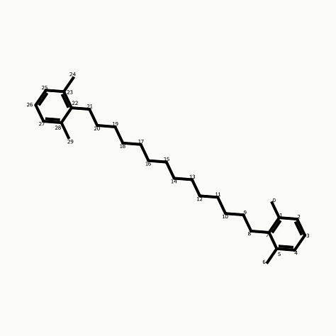 Cc1cccc(C)c1CCCCCCCCCCCCCCc1c(C)cccc1C